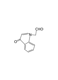 O=[C]Cn1ccc(=O)c2ccccc21